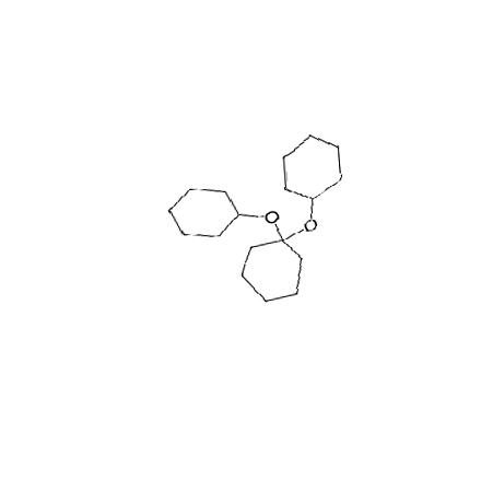 C1CCC(OC2(OC3CCCCC3)CCCCC2)CC1